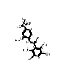 COc1cc(S(=O)(=O)C(F)(F)F)ccc1NC(=O)c1c(C)c(F)cc(C(C)(C)C)c1O